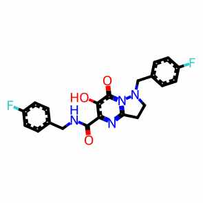 O=C(NCc1ccc(F)cc1)c1nc2n(c(=O)c1O)N(Cc1ccc(F)cc1)CC2